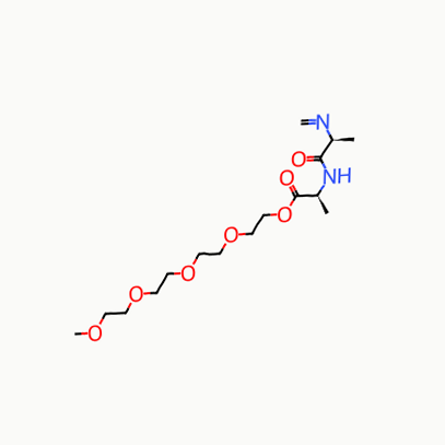 C=N[C@@H](C)C(=O)N[C@@H](C)C(=O)OCCOCCOCCOCCOC